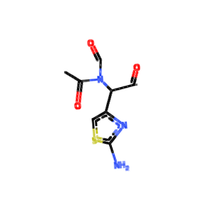 CC(=O)N(C=O)C([C]=O)c1csc(N)n1